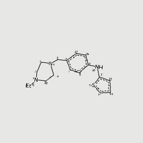 CCN1CCN(Cc2ccc(Nc3cccs3)cc2)CC1